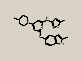 Cc1cc2cc(Oc3nc(Nc4cc(C)on4)cc(N4CCN(C)CC4)n3)ccc2[nH]1